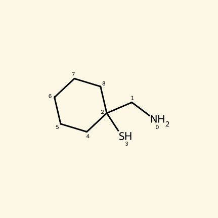 NCC1(S)CCCCC1